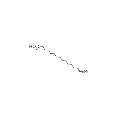 CCCC=CCC=CCCCCCCCCCC(=O)O